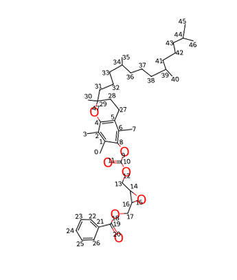 Cc1c(C)c2c(c(C)c1OC(=O)OCC1OC1COC(=O)c1ccccc1)CCC(C)(CCCC(C)CCCC(C)CCCC(C)C)O2